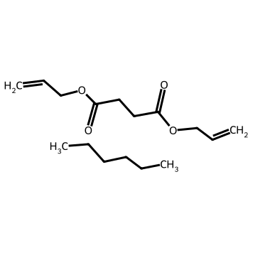 C=CCOC(=O)CCC(=O)OCC=C.CCCCCC